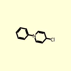 ClC1C=CN(c2ccccc2)C=C1